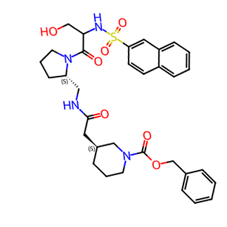 O=C(C[C@@H]1CCCN(C(=O)OCc2ccccc2)C1)NC[C@@H]1CCCN1C(=O)C(CO)NS(=O)(=O)c1ccc2ccccc2c1